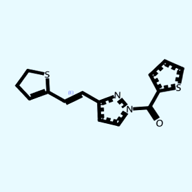 O=C(c1cccs1)n1ccc(/C=C/C2=CCCS2)n1